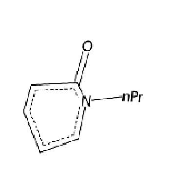 CCCn1ccccc1=O